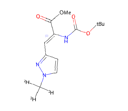 [2H]C([2H])([2H])n1ccc(/C=C(\NC(=O)OC(C)(C)C)C(=O)OC)n1